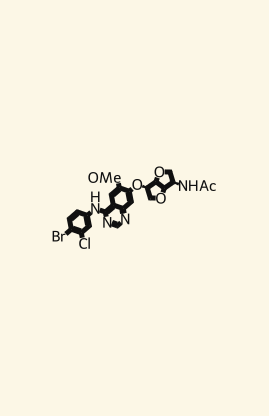 COc1cc2c(Nc3ccc(Br)c(Cl)c3)ncnc2cc1O[C@@H]1COC2C1OC[C@H]2NC(C)=O